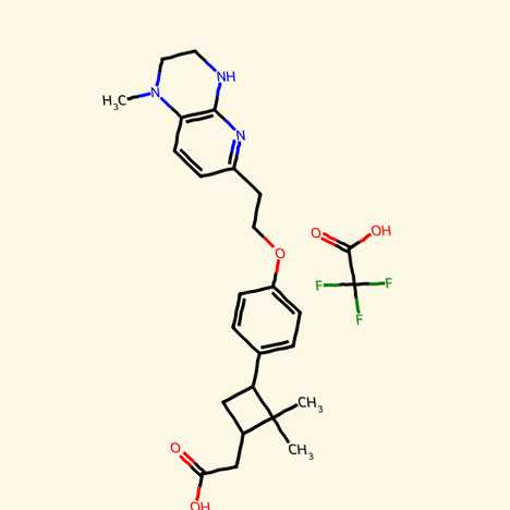 CN1CCNc2nc(CCOc3ccc(C4CC(CC(=O)O)C4(C)C)cc3)ccc21.O=C(O)C(F)(F)F